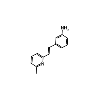 Cc1cccc(/C=C/c2cccc(N)c2)n1